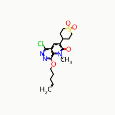 C=CCCCOc1nnc(Cl)c2cc(C3CCS(=O)(=O)CC3)c(=O)n(C)c12